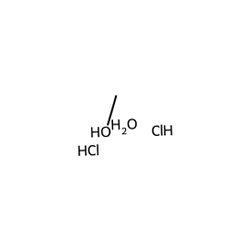 CO.Cl.Cl.O